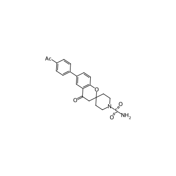 CC(=O)c1ccc(-c2ccc3c(c2)C(=O)CC2(CCN(S(N)(=O)=O)CC2)O3)cc1